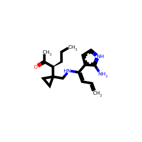 C=C/C=C(/NCC1([C@H](CCC)C(C)=O)CC1)c1cc[nH]c1N